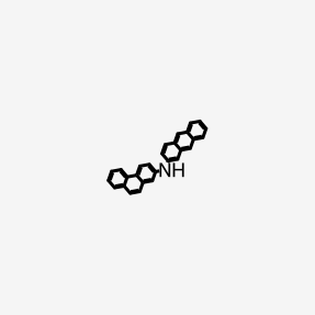 c1ccc2cc3cc(Nc4ccc5c(ccc6ccccc65)c4)ccc3cc2c1